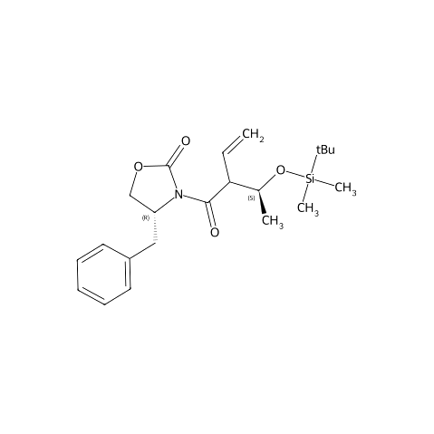 C=CC(C(=O)N1C(=O)OC[C@H]1Cc1ccccc1)[C@H](C)O[Si](C)(C)C(C)(C)C